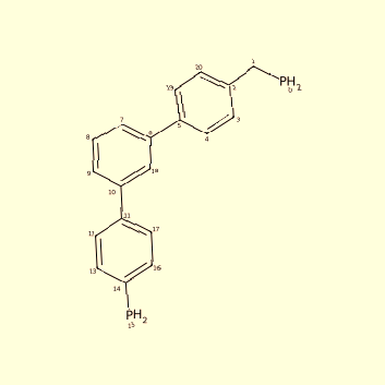 PCc1ccc(-c2cccc(-c3ccc(P)cc3)c2)cc1